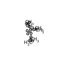 CN(C)c1ccc2c(c1)oc1c(-c3ccc(N4c5ccccc5C5(C)CCCC45C)cc3)cc3c(c12)-c1ccc(-c2ccc(N4c5ccccc5C5(C)CCCCC45C)cc2)cc1C3(c1ccccc1)c1ccccc1